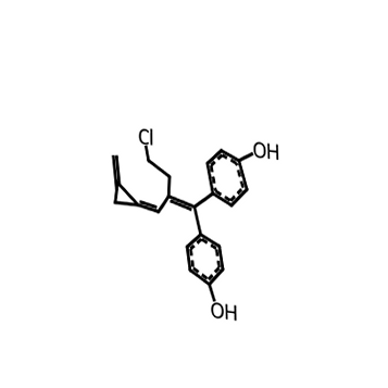 C=C1C/C1=C/C(CCCl)=C(c1ccc(O)cc1)c1ccc(O)cc1